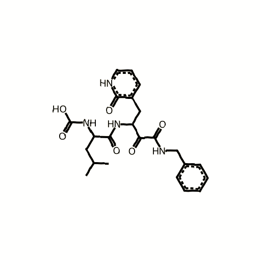 CC(C)CC(NC(=O)O)C(=O)NC(Cc1ccc[nH]c1=O)C(=O)C(=O)NCc1ccccc1